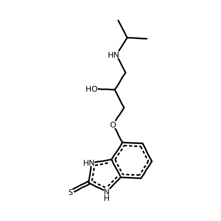 CC(C)NCC(O)COc1cccc2[nH]c(=S)[nH]c12